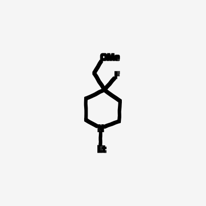 CCN1CCC(F)(COC)CC1